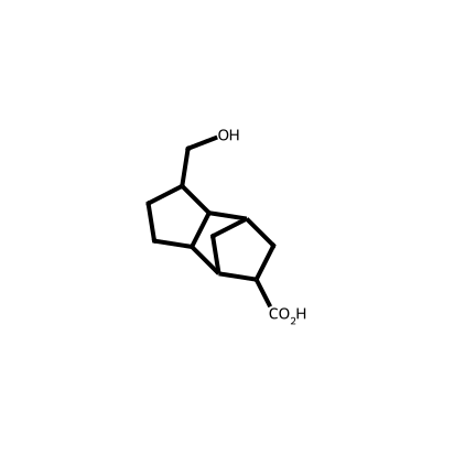 O=C(O)C1CC2CC1C1CCC(CO)C21